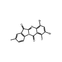 O=C1c2cc(I)ccc2-n2c1nc1c(Br)cc(Br)c(F)c1c2=O